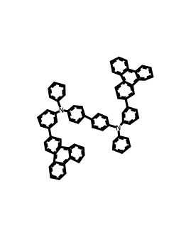 c1ccc(N(c2ccc(-c3ccc(N(c4ccccc4)c4cccc(-c5ccc6c7ccccc7c7ccccc7c6c5)c4)cc3)cc2)c2cccc(-c3ccc4c5ccccc5c5ccccc5c4c3)c2)cc1